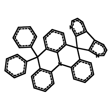 c1ccc(C2(c3ccccc3)c3ccccc3N3c4ccccc4C4(c5cccc2c53)c2ncccc2-c2cccnc24)cc1